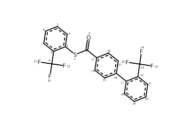 O=C(Sc1ccccc1C(F)(F)F)c1ccc(-c2ccccc2C(F)(F)F)cc1